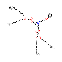 CCCCCCCCCOC(CCC(=O)OCCC1CC(CCOC(=O)CCC(OCCCCCCCCC)OCCCCCCCCC)CN(CCCCOCc2ccccc2)C1)OCCCCCCCCC